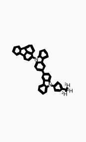 [2H]C([2H])([2H])c1ccc(-n2c3ccccc3c3cc(-c4ccc5c(c4)c4ccccc4n5-c4ccc5c6c(cccc46)-c4ccccc4-5)ccc32)cc1